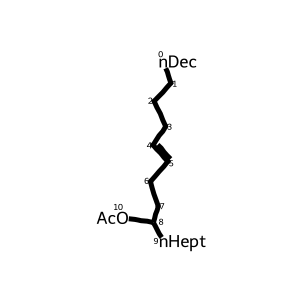 CCCCCCCCCCCCCC=CCCC(CCCCCCC)OC(C)=O